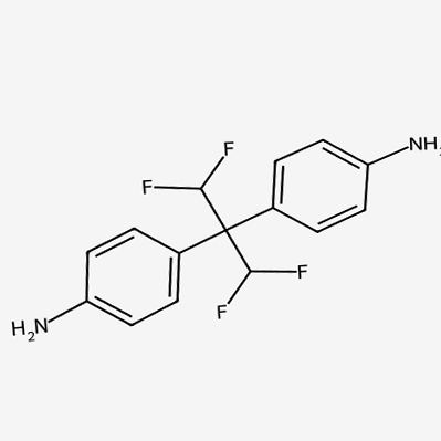 Nc1ccc(C(c2ccc(N)cc2)(C(F)F)C(F)F)cc1